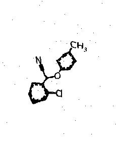 Cc1ccc(OC(C#N)c2ccccc2Cl)cc1